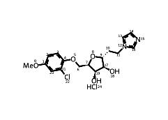 COc1ccc(OC[C@H]2O[C@H](CCn3ccnc3)[C@@H](O)[C@H]2O)c(Cl)c1.Cl